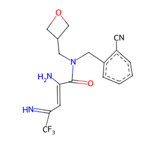 N#Cc1ccccc1CN(CC1COC1)C(=O)/C(N)=C/C(=N)C(F)(F)F